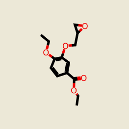 CCOC(=O)c1ccc(OCC)c(OCC2CO2)c1